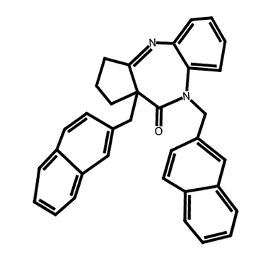 O=C1N(Cc2ccc3ccccc3c2)c2ccccc2N=C2CCCC12Cc1ccc2ccccc2c1